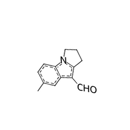 Cc1ccc2c(c1)c(C=O)c1n2CCC1